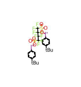 CC(C)(C)c1ccc([I+]OS(=O)(=O)C(F)(F)C(F)(F)C(F)(F)C(F)(F)S(=O)(=O)O[I+]c2ccc(C(C)(C)C)cc2)cc1